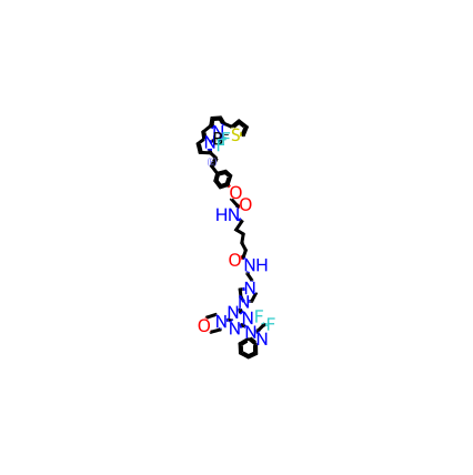 O=C(CCCCCNC(=O)COc1ccc(/C=C/C2=[N+]3C(=Cc4ccc(-c5cccs5)n4[B-]3(F)F)C=C2)cc1)NCCN1CCN(c2nc(N3CCOCC3)nc(-n3c(C(F)F)nc4ccccc43)n2)CC1